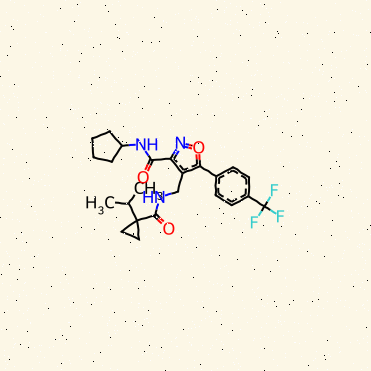 CC(C)C1(C(=O)NCc2c(C(=O)NC3CCCC3)noc2-c2ccc(C(F)(F)F)cc2)CC1